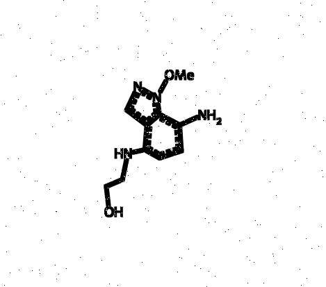 COn1ncc2c(NCCO)ccc(N)c21